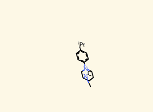 CC(C)c1ccc(N2CC3CCC2CN3C)cc1